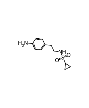 Nc1ccc(CCNS(=O)(=O)C2CC2)cc1